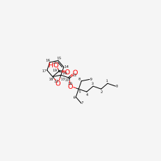 CCCCCC(CC)(CC)OC(=O)C12C=CCCC1(C(=O)O)O2